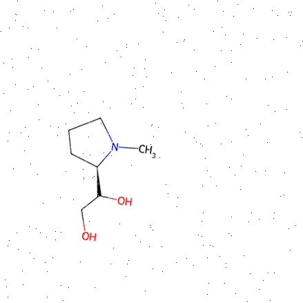 CN1CCC[C@@H]1C(O)CO